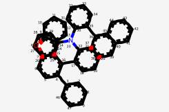 c1ccc(-c2ccc3oc4ccccc4c3c2-c2ccccc2N(c2ccccc2)c2ccccc2-c2cccc3ccccc23)cc1